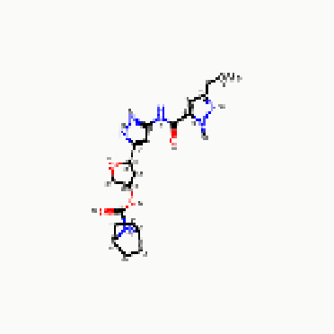 COCc1cc(C(=O)Nc2cc([C@H]3C[C@@H](OC(=O)N4C5CCC4CC5)CO3)[nH]n2)n(C)n1